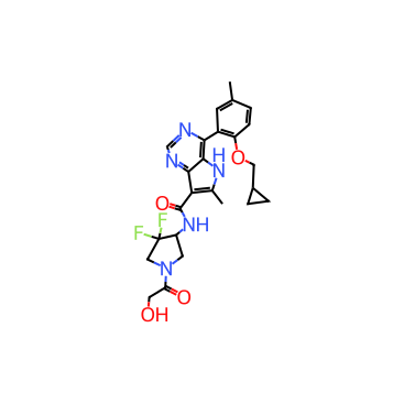 Cc1ccc(OCC2CC2)c(-c2ncnc3c(C(=O)NC4CN(C(=O)CO)CC4(F)F)c(C)[nH]c23)c1